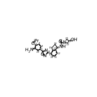 CC(C)Oc1ccc(-c2nc(-c3cccc4c3CC[C@@H]4NC(=O)N3CC(O)C3)no2)cc1N